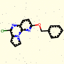 Clc1nc2ccc(OCc3ccccc3)nc2n2cccc12